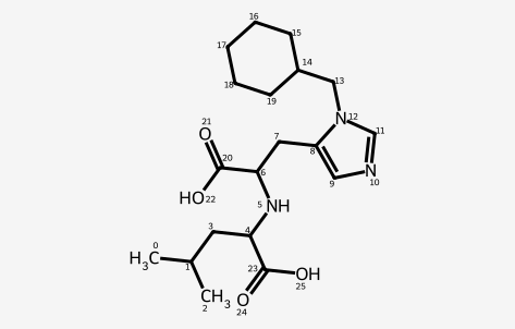 CC(C)CC(NC(Cc1cncn1CC1CCCCC1)C(=O)O)C(=O)O